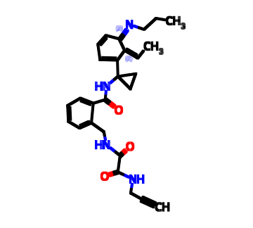 C#CCNC(=O)C(=O)NCc1ccccc1C(=O)NC1(C2=CC=CC(=N/CCC)/C2=C\C)CC1